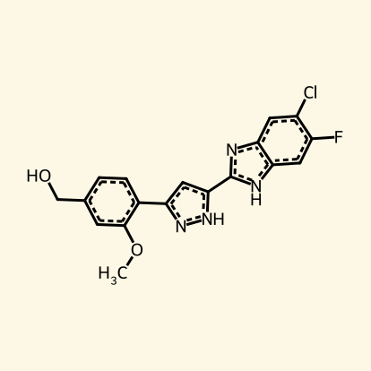 COc1cc(CO)ccc1-c1cc(-c2nc3cc(Cl)c(F)cc3[nH]2)[nH]n1